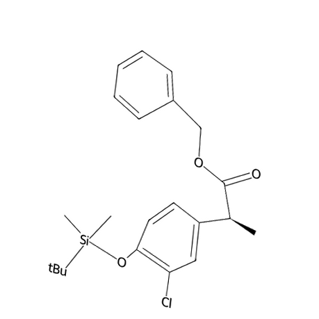 C[C@H](C(=O)OCc1ccccc1)c1ccc(O[Si](C)(C)C(C)(C)C)c(Cl)c1